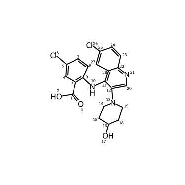 O=C(O)c1cc(Cl)ccc1Nc1c(N2CCC(O)CC2)cnc2ccc(Cl)cc12